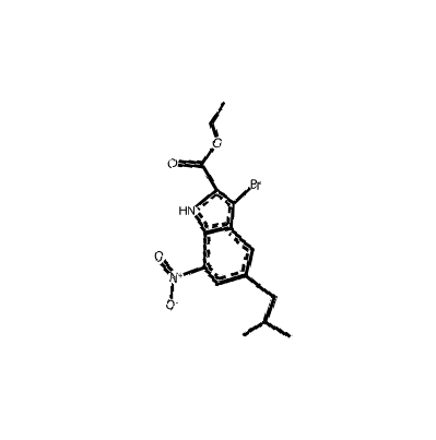 CCOC(=O)c1[nH]c2c([N+](=O)[O-])cc(CC(C)C)cc2c1Br